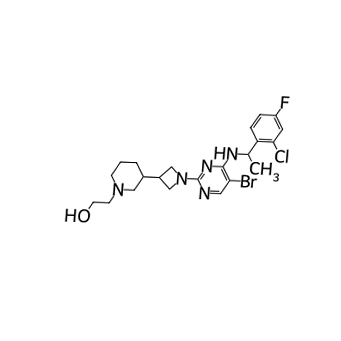 CC(Nc1nc(N2CC(C3CCCN(CCO)C3)C2)ncc1Br)c1ccc(F)cc1Cl